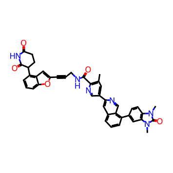 Cc1cc(-c2cc3cccc(-c4ccc5c(c4)n(C)c(=O)n5C)c3cn2)cnc1C(=O)NCC#Cc1cc2c(C3CCC(=O)NC3=O)cccc2o1